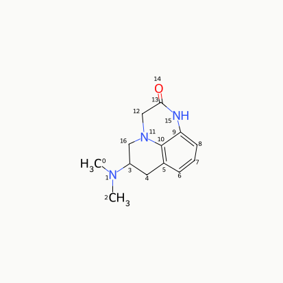 CN(C)C1Cc2cccc3c2N(CC(=O)N3)C1